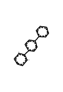 [c]1ccc[c]c1-c1ccc(-c2ccccc2)cc1